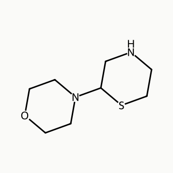 C1CSC(N2CCOCC2)CN1